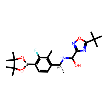 Cc1c([C@@H](C)NC(O)c2noc(C(C)(C)C)n2)ccc(B2OC(C)(C)C(C)(C)O2)c1F